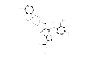 CCOC(=O)c1cnn2c(Nc3ccc(F)cc3C)c(C(=O)N3CCC4(CC3)COc3c(F)cccc34)cnc12